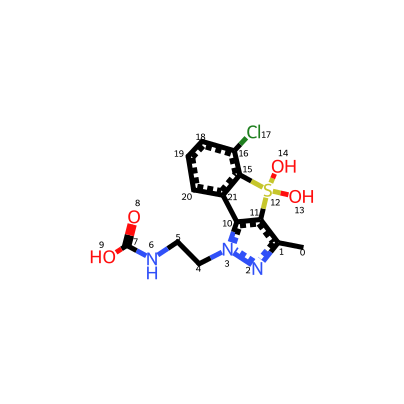 Cc1nn(CCNC(=O)O)c2c1S(O)(O)c1c(Cl)cccc1-2